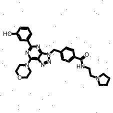 O=C(NCCN1CCCC1)c1ccc(Cn2nnc3c(N4CCOCC4)nc(-c4cccc(O)c4)nc32)cc1